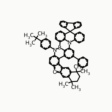 CC(C)(C)c1ccc(N2B3c4cccc5c4N(c4ccccc4C54c5ccccc5-c5ccccc54)c4cc(-c5ccccc5)cc(c43)-c3c2ccc2oc4cc5c(cc4c32)C(C)(C)CCC5(C)C)cc1